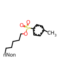 CCCCCCCCCCCCCCOS(=O)(=O)c1ccc(C)cc1